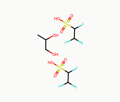 CC(O)CO.O=S(=O)(O)C(F)C(F)F.O=S(=O)(O)C(F)C(F)F